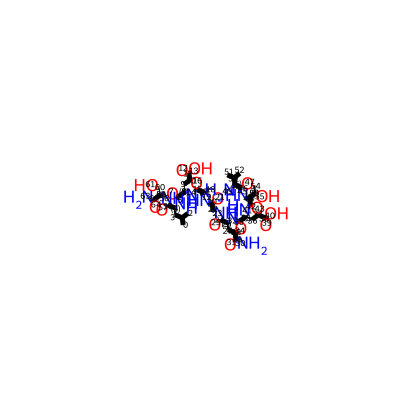 CC(C)C[C@H](NC(=O)[C@H](CCC(=O)O)NC(=O)[C@H](C)NC(=O)CNC(=O)[C@H](CCC(N)=O)NC(=O)[C@H](CCC(=O)O)NC(=O)[C@@H](NC(=O)[C@@H](N)C(C)C)[C@@H](C)O)C(=O)N[C@@H](CO)C(N)=O